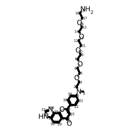 CN(CCOCCOCCOCCOCCOCCN)c1ccc(-c2cc(=O)c3ccc4[nH]cnc4c3o2)cc1